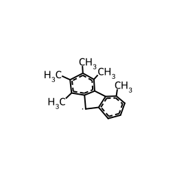 Cc1cccc2c1-c1c(C)c(C)c(C)c(C)c1[CH]2